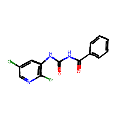 O=C(NC(=O)c1ccccc1)Nc1cc(Cl)cnc1Br